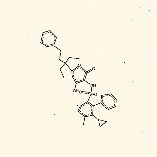 CCC(CC)(CCc1ccccc1)c1cc(O)c(NS(=O)(=O)c2ccc(C)c(C3CC3)c2-c2ccccc2)c(=O)o1